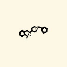 O=C(Cc1ccccc1CF)C1CCN(Cc2ccccc2)CC1